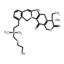 CC[C@@]1(O)C(=O)OCC2=C1CC1=C(C2=O)N2Cc3c(cccc3CC[Si](C)(C)CSCCO)C=C2N1